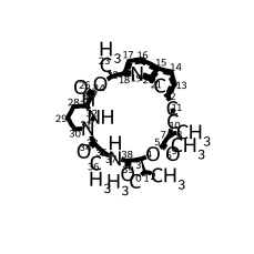 CC(C)[C@@H]1OC(=O)C(C)(C)CCc2ccc3ccc(nc3c2)[C@@H](C)OC(=O)[C@@H]2CCCN(N2)C(=O)[C@H](C)NC1=O